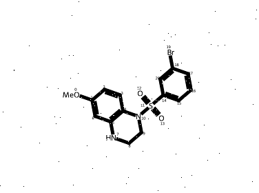 COc1ccc2c(c1)NCCN2S(=O)(=O)c1cccc(Br)c1